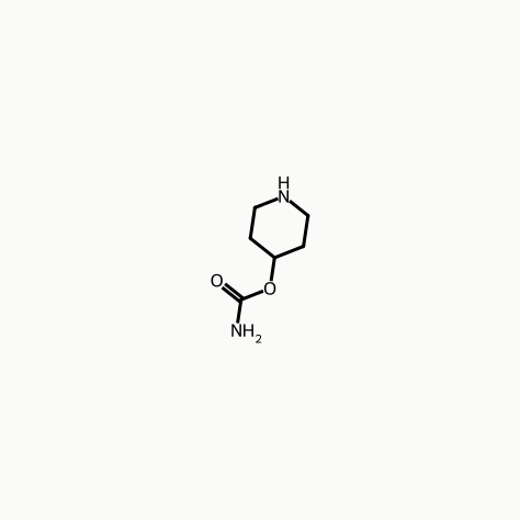 NC(=O)OC1CCNCC1